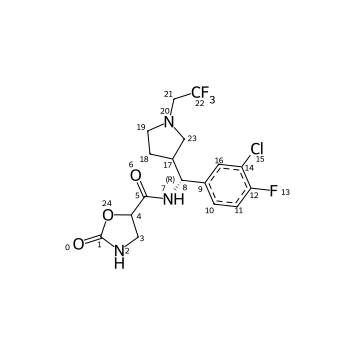 O=C1NCC(C(=O)N[C@@H](c2ccc(F)c(Cl)c2)C2CCN(CC(F)(F)F)C2)O1